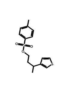 Cc1ccc(S(=O)(=O)OCCC(C)c2ccsc2)cc1